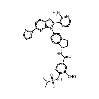 CN(C)S(=O)(=O)Nc1ccc(C(=O)N[C@H]2CCc3cc(-n4c(-c5cccnc5N)nc5ccc(-n6cccn6)nc54)ccc32)cc1C=O